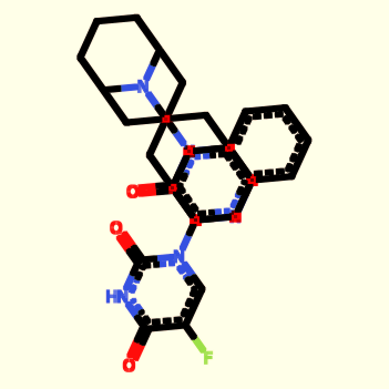 O=c1[nH]c(=O)n(-c2nc3ccccc3n(C3CC4CCCC(C3)N4C3CC4CCCC(C4)C3)c2=O)cc1F